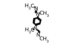 CN=CN(C)c1ccc(N(C)C=NC)cc1